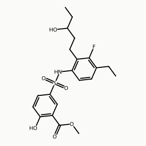 CCc1ccc(NS(=O)(=O)c2ccc(O)c(C(=O)OC)c2)c(CCC(O)CC)c1F